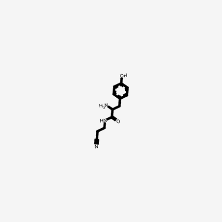 N#CCCNC(=O)C(N)Cc1ccc(O)cc1